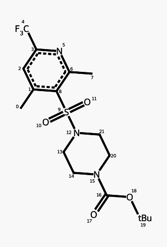 Cc1cc(C(F)(F)F)nc(C)c1S(=O)(=O)N1CCN(C(=O)OC(C)(C)C)CC1